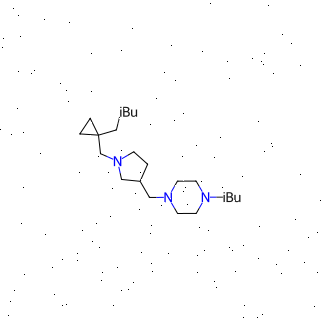 CCC(C)CC1(CN2CCC(CN3CCN(C(C)CC)CC3)C2)CC1